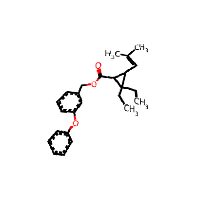 CCC1(CC)C(C=C(C)C)C1C(=O)OCc1cccc(Oc2ccccc2)c1